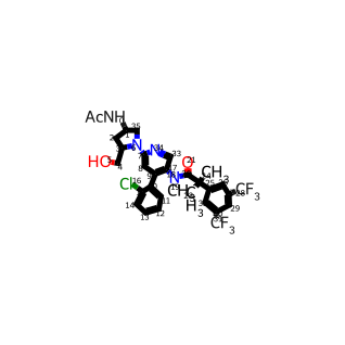 CC(=O)NC1CC(CO)N(c2cc(-c3ccccc3Cl)c(N(C)C(=O)C(C)(C)c3cc(C(F)(F)F)cc(C(F)(F)F)c3)cn2)C1